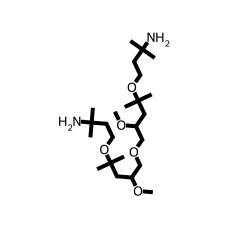 COC(COCC(CC(C)(C)OCCC(C)(C)N)OC)CC(C)(C)OCCC(C)(C)N